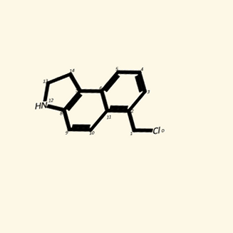 ClCc1cccc2c3c(ccc12)NCC3